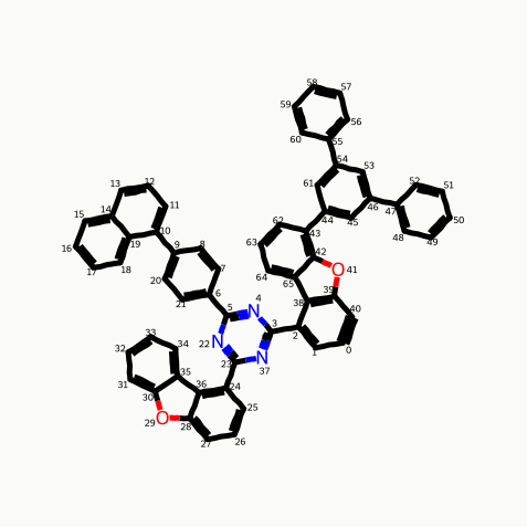 c1cc(-c2nc(-c3ccc(-c4cccc5ccccc45)cc3)nc(-c3cccc4oc5ccccc5c34)n2)c2c(c#1)oc1c(-c3cc(-c4ccccc4)cc(-c4ccccc4)c3)cccc12